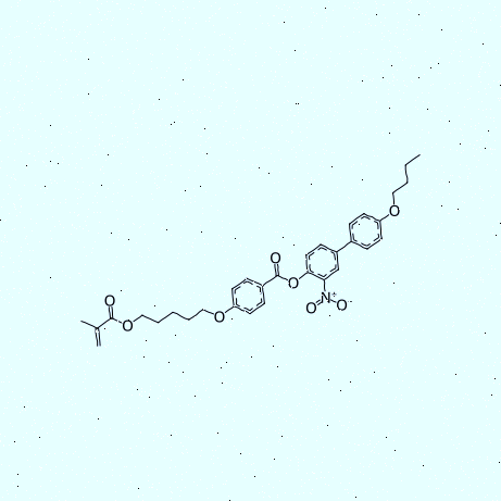 C=C(C)C(=O)OCCCCCOc1ccc(C(=O)Oc2ccc(-c3ccc(OCCCC)cc3)cc2[N+](=O)[O-])cc1